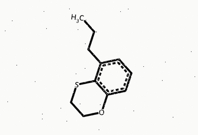 C[CH]Cc1cccc2c1SCCO2